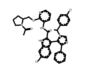 CC(=O)N1CCCC1COc1ncccc1NC(=O)c1[nH]c2cc(Cl)ccc2c1-c1c(-c2ccccc2)ncn1C(C)c1ccc(Cl)cc1